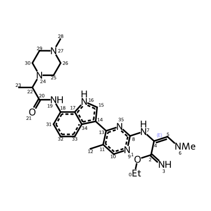 CCOC(=N)/C(=C\NC)Nc1ncc(C)c(-c2c[nH]c3c(NC(=O)C(C)N4CCN(C)CC4)cccc23)n1